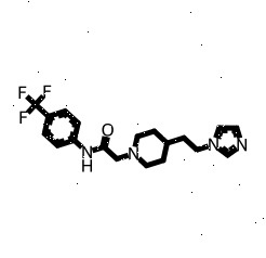 O=C(CN1CCC(CCn2ccnc2)CC1)Nc1ccc(C(F)(F)F)cc1